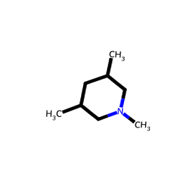 CC1CC(C)CN(C)C1